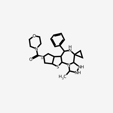 CC1NNC2N1C1SC3C[C@@H](C(=O)N4CCOCC4)CC3C1C(c1ccccc1)NC21CC1